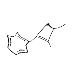 SC1=C(c2ccccc2)CC1S